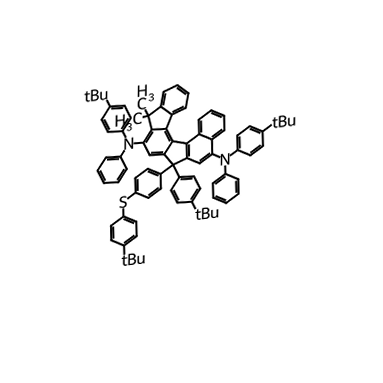 CC(C)(C)c1ccc(Sc2ccc(C3(c4ccc(C(C)(C)C)cc4)c4cc(N(c5ccccc5)c5ccc(C(C)(C)C)cc5)c5c(c4-c4c3cc(N(c3ccccc3)c3ccc(C(C)(C)C)cc3)c3ccccc43)-c3ccccc3C5(C)C)cc2)cc1